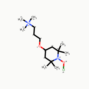 CC1(C)CC(OCCC[N+](C)(C)C)CC(C)(C)N1OCl